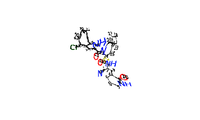 N#C[C@H](C[C@@H]1CCCNC1=O)N[S+]([O-])C1CC2(CCC2)CN1C(=O)c1cc2c(Cl)cccc2[nH]1